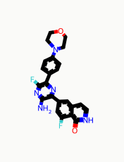 Nc1nc(F)c(-c2ccc(N3CCOCC3)cc2)nc1-c1cc(F)c2c(=O)[nH]ccc2c1